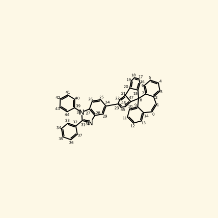 C1=Cc2ccccc2C2(c3ccccc31)c1ccccc1-c1cc(-c3ccc4c(c3)nc(-c3ccccc3)n4-c3ccccc3)ccc12